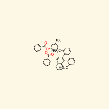 CC(C)(C)c1ccc(OC(=O)c2ccccc2)c(OC(=O)c2ccccc2)c1.O=C(O)c1ccccc1-c1ccc2ccccc2c1-c1ccccc1C(=O)O